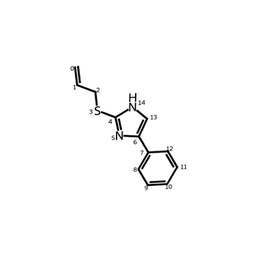 C=CCSc1nc(-c2ccccc2)c[nH]1